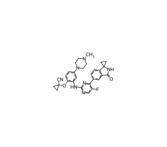 CN1CCN(c2ccc(OC3(C#N)CC3)c(Nc3ncc(F)c(-c4ccc5c(c4)C(=O)NC54CC4)n3)c2)CC1